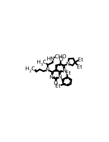 C=CCCN(c1nc(=O)n(-c2c(CC)cccc2CC)c2nc(N3CCC(CC)(CC)C3)c(Cl)cc12)C(C)CNC=O